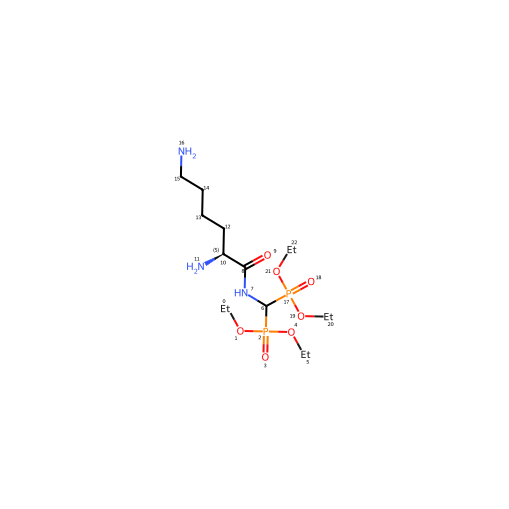 CCOP(=O)(OCC)C(NC(=O)[C@@H](N)CCCCN)P(=O)(OCC)OCC